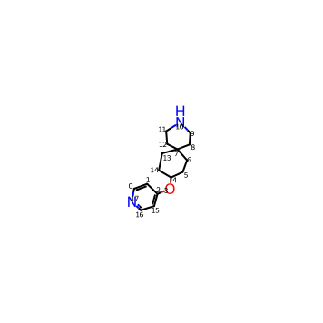 c1cc(OC2CCC3(CCNCC3)CC2)ccn1